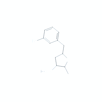 CC1SC(Cc2cccc(Br)c2)CC1S(=O)(=O)O